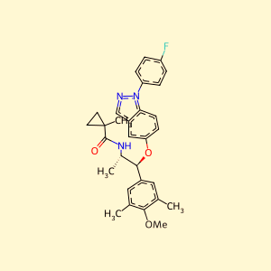 COc1c(C)cc([C@H](Oc2ccc3c(cnn3-c3ccc(F)cc3)c2)[C@H](C)NC(=O)C2(C)CC2)cc1C